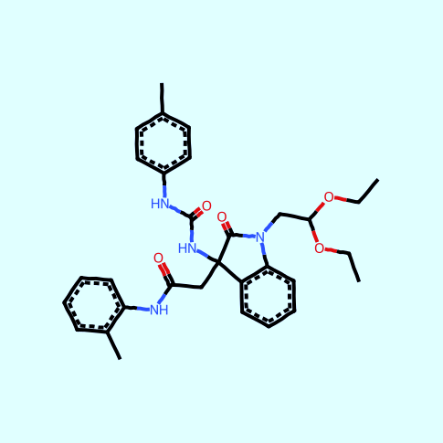 CCOC(CN1C(=O)C(CC(=O)Nc2ccccc2C)(NC(=O)Nc2ccc(C)cc2)c2ccccc21)OCC